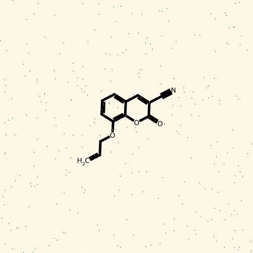 C=CCOc1cccc2cc(C#N)c(=O)oc12